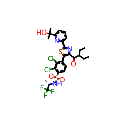 CCC(CC)C(=O)c1nc(-c2cccc(C(C)(C)O)n2)sc1-c1ccc(S(=O)(=O)N[C@@H](C)C(F)(F)F)c(Cl)c1Cl